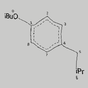 CC(C)COc1ccc(CC(C)C)cc1